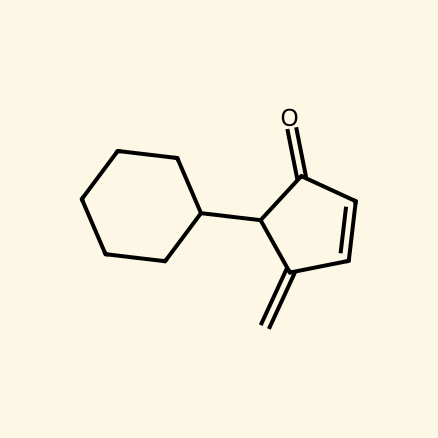 C=C1C=CC(=O)C1C1CCCCC1